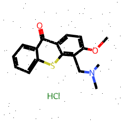 COc1ccc2c(=O)c3ccccc3sc2c1CN(C)C.Cl